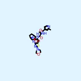 Cc1cc(C2NC(C(=O)Nc3cc4sc(N5CCOCC5)nc4nc3N3C4CCC3CC(O)C4)=CO2)ccn1